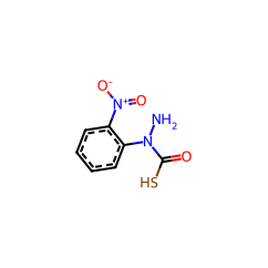 NN(C(=O)S)c1ccccc1[N+](=O)[O-]